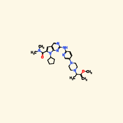 C=C(OC)C(C)N1CCN(c2ccc(Nc3ncc4cc(C(=O)N(C)C)n(C5CCCC5)c4n3)nc2)CC1